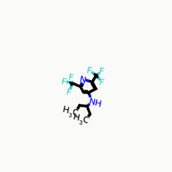 CCC(CC)Nc1cc(C(F)(F)F)nc(C(F)(F)F)c1